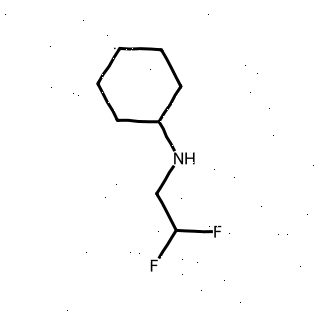 FC(F)CNC1CC[CH]CC1